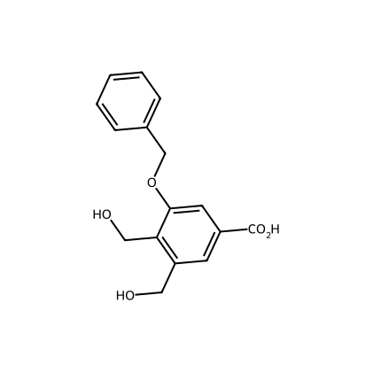 O=C(O)c1cc(CO)c(CO)c(OCc2ccccc2)c1